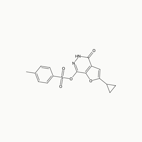 Cc1ccc(S(=O)(=O)Oc2n[nH]c(=O)c3cc(C4CC4)oc23)cc1